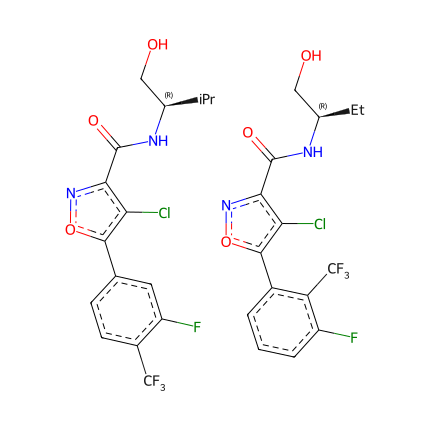 CC(C)[C@H](CO)NC(=O)c1noc(-c2ccc(C(F)(F)F)c(F)c2)c1Cl.CC[C@H](CO)NC(=O)c1noc(-c2cccc(F)c2C(F)(F)F)c1Cl